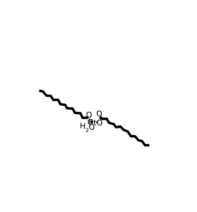 CCCCCCCCCCCCCC(=O)[O][Pt][O]C(=O)CCCCCCCCCCCCC.O